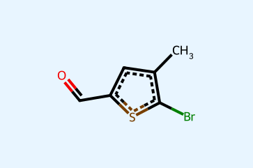 Cc1cc(C=O)sc1Br